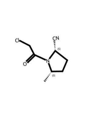 C[C@H]1CC[C@@H](C#N)N1C(=O)CCl